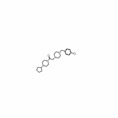 O=C(CN1CCN(Cc2ccc(Cl)cc2)CC1)N1CCN(C2CCCC2)CC1